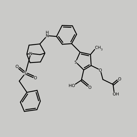 Cc1c(-c2cccc(NC3CC4CCC3CN4S(=O)(=O)Cc3ccccc3)c2)sc(C(=O)O)c1OCC(=O)O